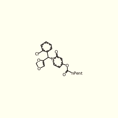 CCCCCC(=O)Oc1ccn(C(C2=COCO2)c2ccccc2Cl)c(=O)c1